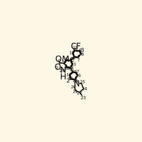 COC(=O)c1cc(-c2cccc(C(F)(F)F)c2)cc(-c2ccc(N3CCC(C)CC3)cc2)c1N